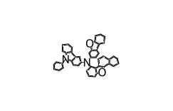 c1ccc(-n2c3ccccc3c3cc(N(c4ccc5c(c4)oc4ccccc45)c4cccc5oc6c7ccccc7ccc6c45)ccc32)cc1